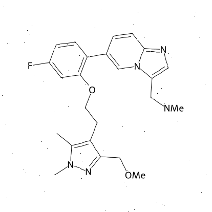 CNCc1cnc2ccc(-c3ccc(F)cc3OCCc3c(COC)nn(C)c3C)cn12